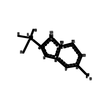 C[Si](C)(C)c1cc2cc(F)ccn2n1